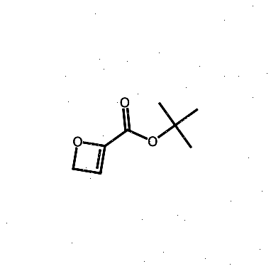 CC(C)(C)OC(=O)C1=CCO1